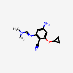 CN(C)/C=N/c1cc(N)cc(OC2CC2)c1C#N